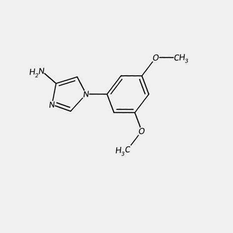 COc1cc(OC)cc(-n2cnc(N)c2)c1